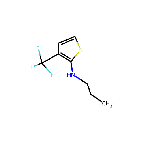 [CH2]CCNc1sccc1C(F)(F)F